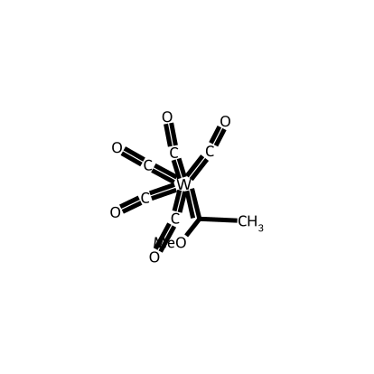 CO[C](C)=[W](=[C]=O)(=[C]=O)(=[C]=O)(=[C]=O)=[C]=O